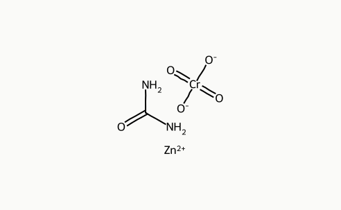 NC(N)=O.[O]=[Cr](=[O])([O-])[O-].[Zn+2]